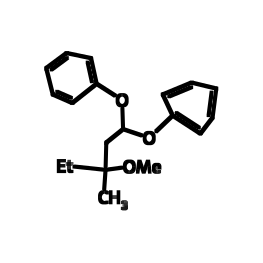 CCC(C)(CC(Oc1ccccc1)Oc1ccccc1)OC